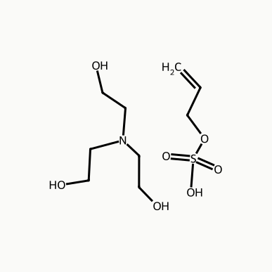 C=CCOS(=O)(=O)O.OCCN(CCO)CCO